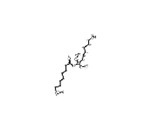 CCCCCCCCCCCCCCCCCC(=O)O[Si](CCCCCCS)(OCC)OCC